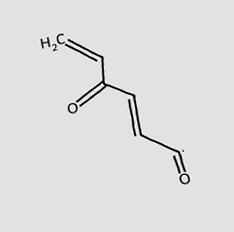 C=CC(=O)C=C[C]=O